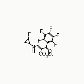 CCOC(=O)C(=CNC1CC1F)C(=O)c1c(F)c(F)c(F)c(F)c1F